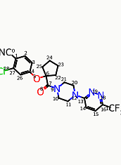 N#Cc1ccc(OC2(C(=O)N3CCN(c4ccc(C(F)(F)F)nn4)CC3)CCCC2)cc1Cl